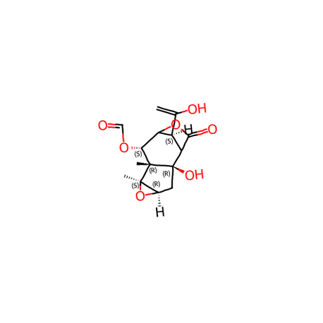 C=C(O)[C@@H]1C2OC(=O)C1[C@]1(O)C[C@H]3O[C@@]3(C)[C@]1(C)[C@@H]2OC=O